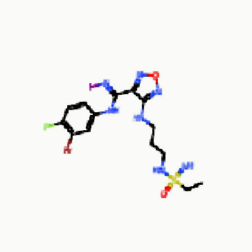 CCS(=N)(=O)NCCCNc1nonc1/C(=N/I)Nc1ccc(F)c(Br)c1